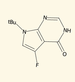 CC(C)(C)n1cc(F)c2c(=O)[nH]cnc21